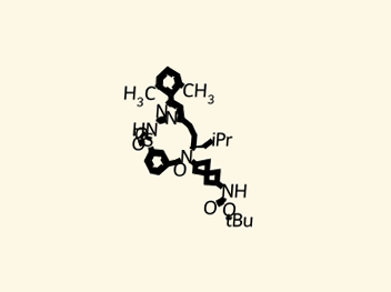 Cc1cccc(C)c1-c1cc2nc(n1)NS(=O)(=O)c1cccc(c1)C(=O)N(C1CC3(CC(NC(=O)OC(C)(C)C)C3)C1)[C@H](CC(C)C)CC2